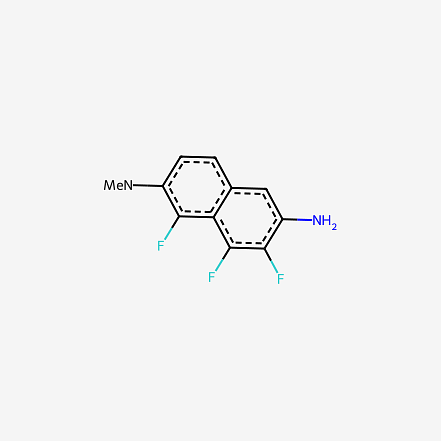 CNc1ccc2cc(N)c(F)c(F)c2c1F